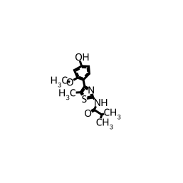 COc1cc(O)ccc1-c1nc(NC(=O)C(C)C)sc1C